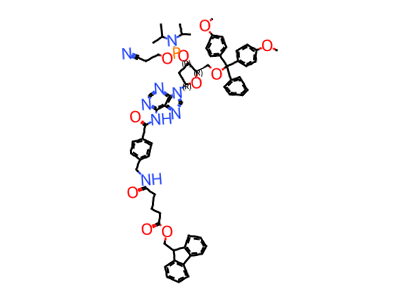 COc1ccc(C(OC[C@H]2O[C@@H](n3cnc4c(NC(=O)c5ccc(CNC(=O)CCCC(=O)OCC6c7ccccc7-c7ccccc76)cc5)ncnc43)C[C@H]2OP(OCCC#N)N(C(C)C)C(C)C)(c2ccccc2)c2ccc(OC)cc2)cc1